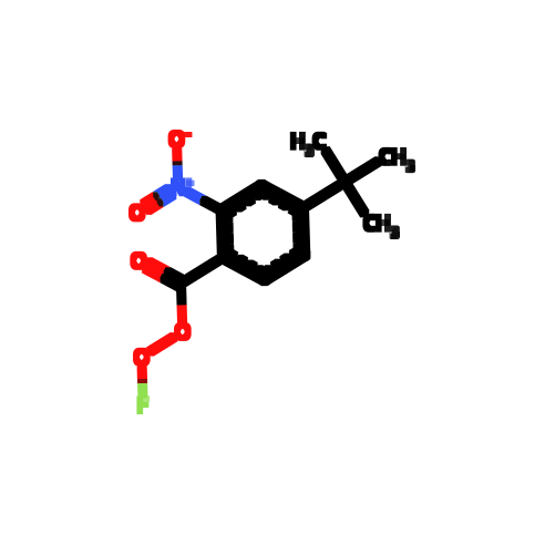 CC(C)(C)c1ccc(C(=O)OOF)c([N+](=O)[O-])c1